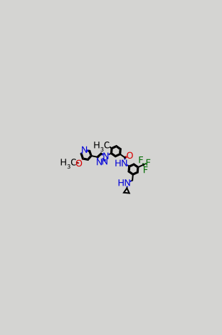 COc1cncc(-c2cn(-c3cc(C(=O)Nc4cc(CNC5CC5)cc(C(F)(F)F)c4)ccc3C)nn2)c1